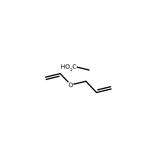 C=CCOC=C.CC(=O)O